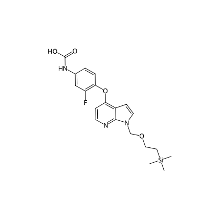 C[Si](C)(C)CCOCn1ccc2c(Oc3ccc(NC(=O)O)cc3F)ccnc21